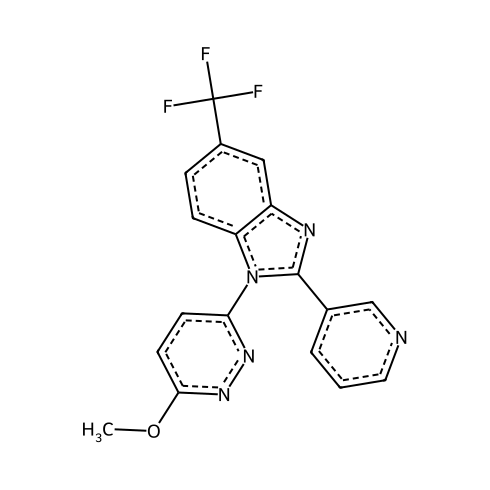 COc1ccc(-n2c(-c3cccnc3)nc3cc(C(F)(F)F)ccc32)nn1